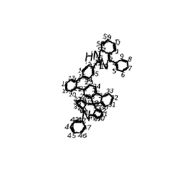 C1=CC2=C(c3ccccc3)N=C(c3ccc(-c4ccccc4-c4ccc5c(c4)C4(c6ccccc6-5)c5ccccc5N(c5ccccc5)c5ccccc54)cc3)NC2C=C1